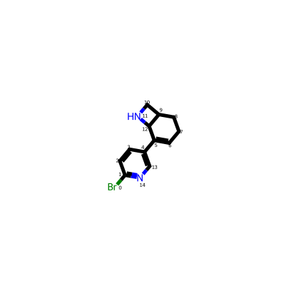 Brc1ccc(C2=CCCC3CNC23)cn1